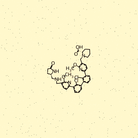 COc1nc(-c2cccc(-c3cccc(-c4ccc(CN5CCCC[C@H]5C(=O)O)c(OC)n4)c3Cl)c2Cl)ccc1CNC[C@H]1CCC(=O)N1